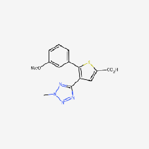 COc1cccc(-c2sc(C(=O)O)cc2-c2nnn(C)n2)c1